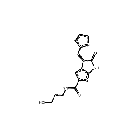 O=C1Nc2sc(C(=O)NCCCO)cc2C1=Cc1ccc[nH]1